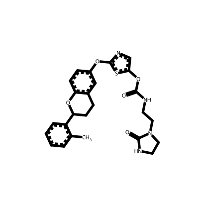 Cc1ccccc1C1CCc2cc(Oc3ncc(OC(=O)NCCN4CCNC4=O)s3)ccc2O1